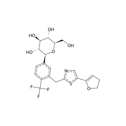 OC[C@H]1O[C@@H](c2ccc(C(F)(F)F)c(Cc3ncc(C4=CCCO4)s3)c2)[C@H](O)[C@@H](O)[C@@H]1O